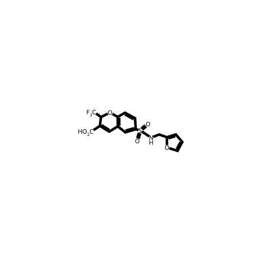 O=C(O)C1=Cc2cc(S(=O)(=O)NCc3ccco3)ccc2OC1C(F)(F)F